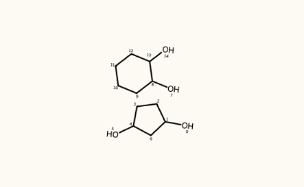 OC1CCC(O)C1.OC1CCCCC1O